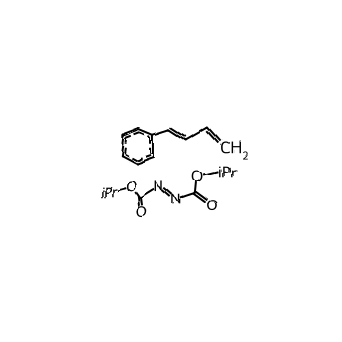 C=CC=Cc1ccccc1.CC(C)OC(=O)N=NC(=O)OC(C)C